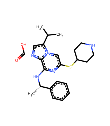 CC(C)c1cnc2c(N[C@@H](C)c3ccccc3)nc(SC3CCNCC3)cn12.O=CO